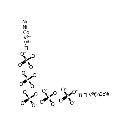 O=P([O-])([O-])[O-].O=P([O-])([O-])[O-].O=P([O-])([O-])[O-].O=P([O-])([O-])[O-].O=P([O-])([O-])[O-].[Co].[Co].[Co].[Ni].[Ni].[Ni].[Ti].[Ti].[Ti].[V+5].[V+5].[V+5]